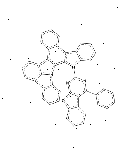 c1ccc(-c2nc(-n3c4ccccc4c4c5ccccc5c5c6cccc7c8ccccc8n(c76)c5c43)nc3oc4ccccc4c23)cc1